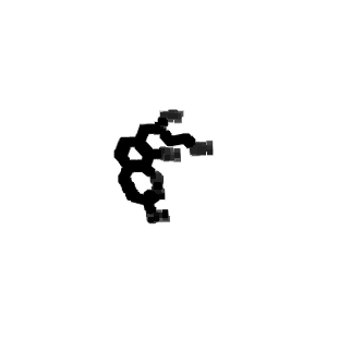 CCCN(CCO)Cc1ccc2c(c1O)ON=C(O)C=C2